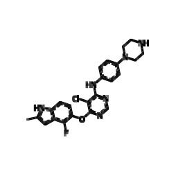 Cc1cc2c(F)c(Oc3ncnc(Nc4ccc(N5CCNCC5)cc4)c3Cl)ccc2[nH]1